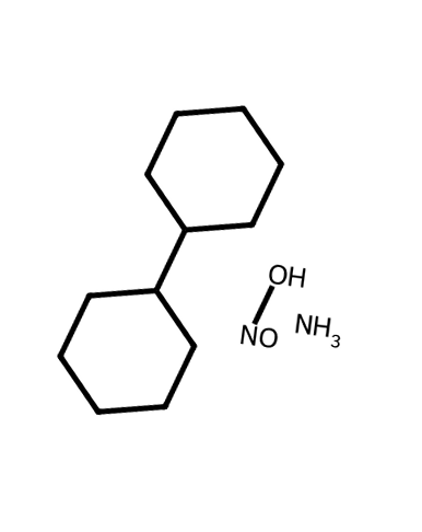 C1CCC(C2CCCCC2)CC1.N.O=NO